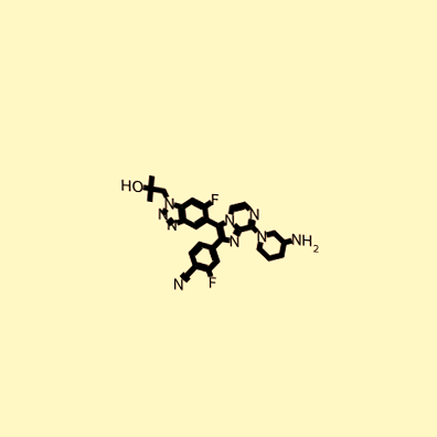 CC(C)(O)Cn1nnc2cc(-c3c(-c4ccc(C#N)c(F)c4)nc4c(N5CCCC(N)C5)nccn34)c(F)cc21